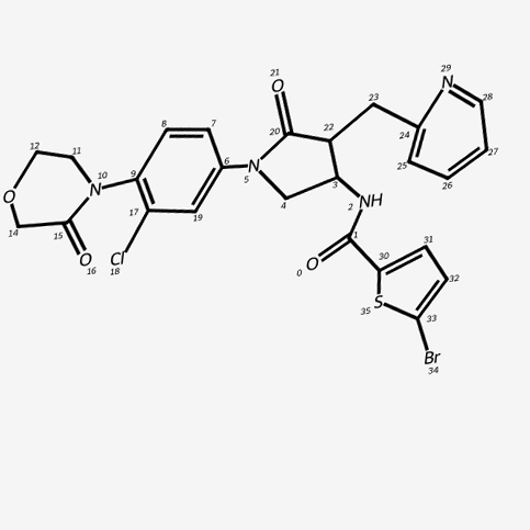 O=C(NC1CN(c2ccc(N3CCOCC3=O)c(Cl)c2)C(=O)C1Cc1ccccn1)c1ccc(Br)s1